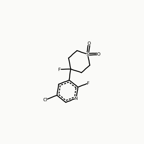 O=S1(=O)CCC(F)(c2cc(Cl)cnc2F)CC1